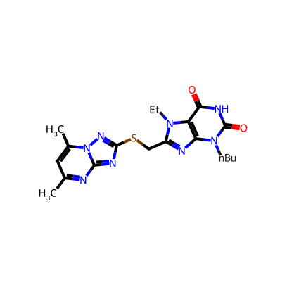 CCCCn1c(=O)[nH]c(=O)c2c1nc(CSc1nc3nc(C)cc(C)n3n1)n2CC